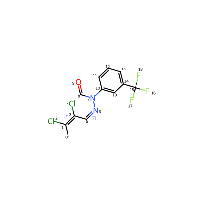 C/C(Cl)=C(Cl)\C=N/N(C=O)c1cccc(C(F)(F)F)c1